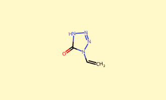 C=Cn1nn[nH]c1=O